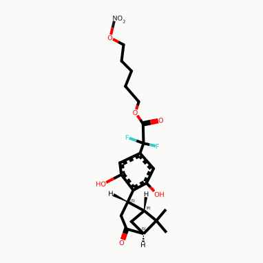 CC1(C)[C@@H]2C[C@@H]1[C@@H](c1c(O)cc(C(F)(F)C(=O)OCCCCCO[N+](=O)[O-])cc1O)CC2=O